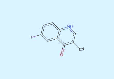 N#Cc1c[nH]c2ccc(I)cc2c1=O